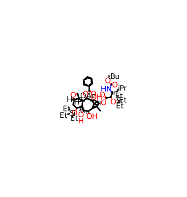 CC[Si](CC)(CC)OC(C(=O)O[C@H]1C[C@@]2(O)[C@@H](OC(=O)c3ccccc3)[C@@H]3[C@]4(OC(C)=O)CO[C@@H]4CC(O[Si](CC)(CC)CC)[C@@]3(C)[C@@H](O)[C@@H](O)C(=C1C)C2(C)C)[C@H](CC(C)C)NC(=O)OC(C)(C)C